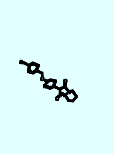 O=C1C(c2ccc(OCc3ccc(Br)cc3)nc2)[N+](=O)N2CCCCN12